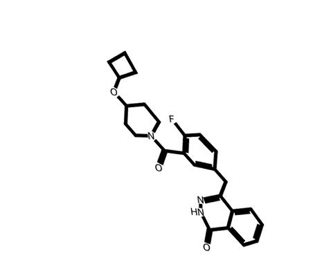 O=C(c1cc(Cc2n[nH]c(=O)c3ccccc23)ccc1F)N1CCC(OC2CCC2)CC1